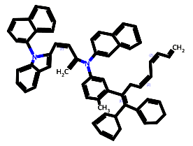 C=C/C=C\C=C/C/C(=C(\C1=CCCC=C1)C1C=CC=CC1)c1cc(N(C(=C)/C=C\c2cc3ccccc3n2-c2cccc3ccccc23)c2ccc3ccccc3c2)ccc1C